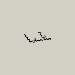 C=CCCCN(CCCCCC(=O)OC/C=C\CCCCCC)C(=O)SCCN(C)C